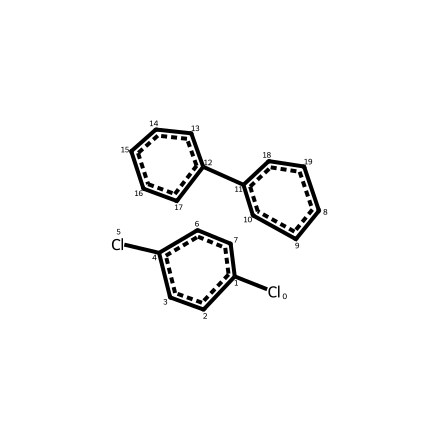 Clc1ccc(Cl)cc1.c1ccc(-c2ccccc2)cc1